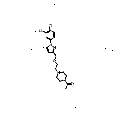 CC(=O)N1CCN(CCOCc2ccn(-c3ccc(Cl)c(Cl)c3)n2)CC1